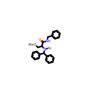 COCC(C(=O)NCc1ccccc1)N(C(C)=O)C(c1ccccc1)c1ccccc1